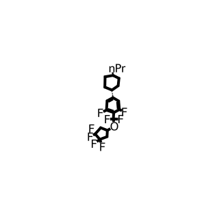 CCC[C@H]1CC[C@H](c2cc(F)c(C(F)(F)OC3CC(F)(F)C(F)(F)C3)c(F)c2)CC1